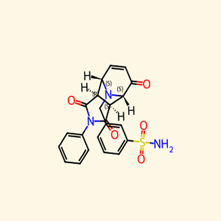 NS(=O)(=O)c1cccc(CN2[C@@H]3C(=O)C=C[C@H]2[C@@H]2C(=O)N(c4ccccc4)C(=O)[C@@H]23)c1